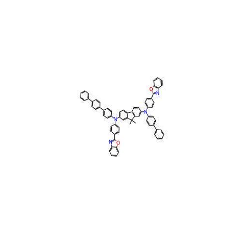 CC1(C)c2cc(N(c3ccc(-c4ccccc4)cc3)c3ccc(-c4nc5c#cccc5o4)cc3)ccc2-c2ccc(N(c3ccc(-c4ccc(-c5ccccc5)cc4)cc3)c3ccc(-c4nc5ccccc5o4)cc3)cc21